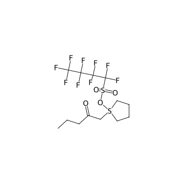 CCCC(=O)CS1(OS(=O)(=O)C(F)(F)C(F)(F)C(F)(F)C(F)(F)F)CCCC1